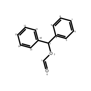 O=[C]OC(c1ccccc1)c1ccccc1